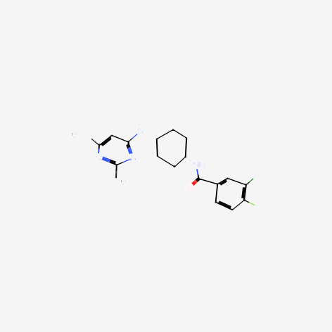 COc1cc(N[C@H]2CC[C@@H](NC(=O)c3ccc(F)c(Cl)c3)CC2)nc(OC)n1.Cl